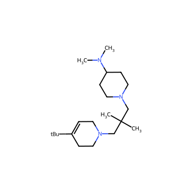 CN(C)C1CCN(CC(C)(C)CN2CC=C(C(C)(C)C)CC2)CC1